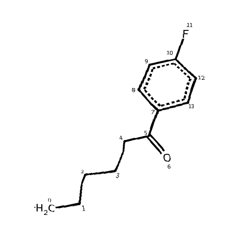 [CH2]CCCCC(=O)c1ccc(F)cc1